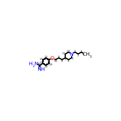 CCCCN1CCC(CCCOc2ccc(C(=N)N)cc2)CC1